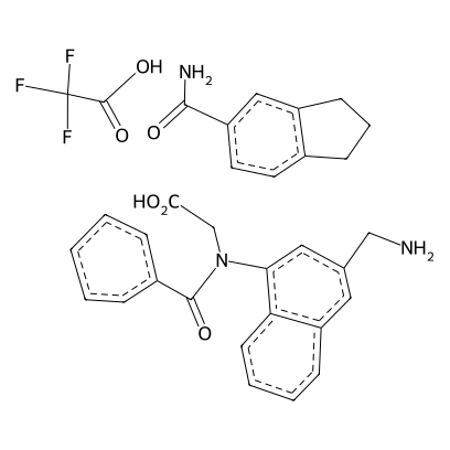 NC(=O)c1ccc2c(c1)CCC2.NCc1cc(N(CC(=O)O)C(=O)c2ccccc2)c2ccccc2c1.O=C(O)C(F)(F)F